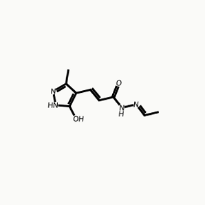 C/C=N/NC(=O)C=Cc1c(C)n[nH]c1O